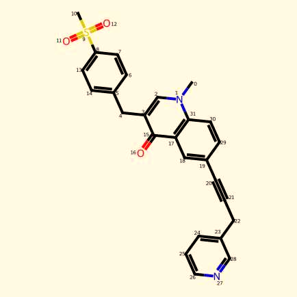 Cn1cc(Cc2ccc(S(C)(=O)=O)cc2)c(=O)c2cc(C#CCc3cccnc3)ccc21